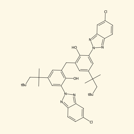 CC(C)(C)CC(C)(C)c1cc(Cc2cc(C(C)(C)CC(C)(C)C)cc(-n3nc4ccc(Cl)cc4n3)c2O)c(O)c(-n2nc3ccc(Cl)cc3n2)c1